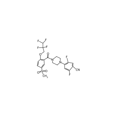 CS(=O)(=O)c1ccc(OCC(F)(F)C(F)F)c(C(=O)N2CCN(c3cc(F)c(C#N)cc3F)CC2)c1